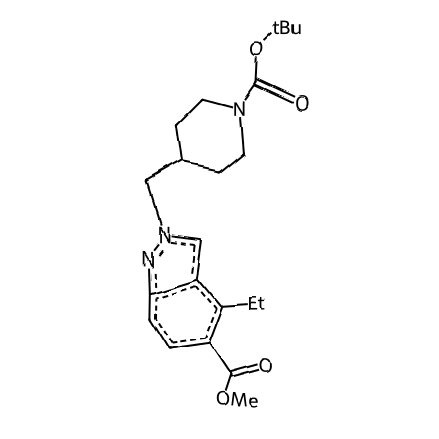 CCc1c(C(=O)OC)ccc2nn(CC3CCN(C(=O)OC(C)(C)C)CC3)cc12